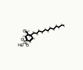 CCCCCCCCCCCCc1ccc(S(=O)(=O)O)cc1C=O